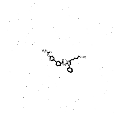 NC(=O)Oc1ccc(-c2cccc(C(=O)Nc3nc(CCCCCC=O)cn3-c3ccccc3)c2)cn1